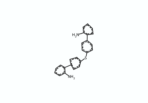 Nc1ccccc1-c1ccc(Sc2ccc(-c3ccccc3N)cc2)cc1